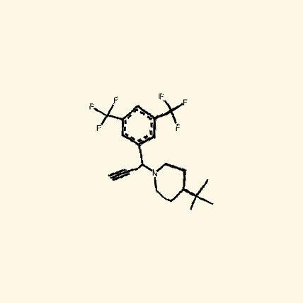 C#CC(c1cc(C(F)(F)F)cc(C(F)(F)F)c1)N1CCC(C(C)(C)C)CC1